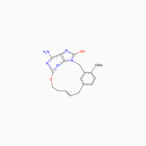 COc1ccc2cc1Cn1c(O)nc3c(N)nc(nc31)OCC/C=C/C2